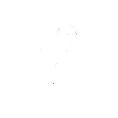 N#Cc1cc(Nc2nc(NC3CC3)n3cc(C#N)nc3n2)c(Cl)c(N2CCC(N[C@@H]3CCCC[C@H]3F)CC2)c1